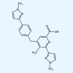 Cc1c(Cc2ccc(-c3ccn(C)n3)cc2)cc(C(=O)O)nc1-c1ccn(C)n1